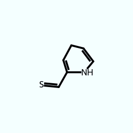 S=CC1=CCC=CN1